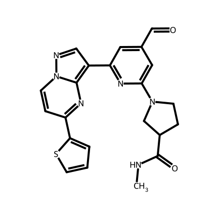 CNC(=O)C1CCN(c2cc(C=O)cc(-c3cnn4ccc(-c5cccs5)nc34)n2)C1